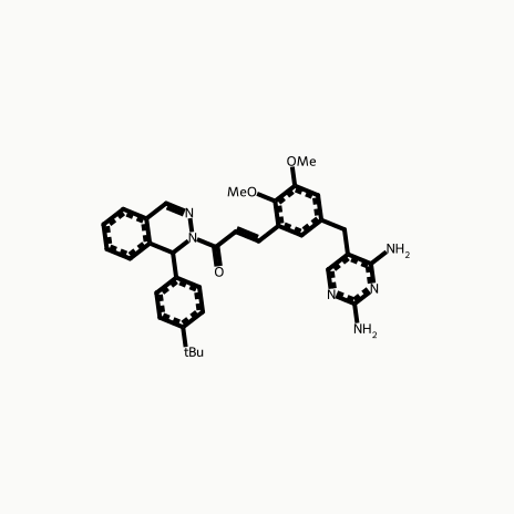 COc1cc(Cc2cnc(N)nc2N)cc(C=CC(=O)N2N=Cc3ccccc3C2c2ccc(C(C)(C)C)cc2)c1OC